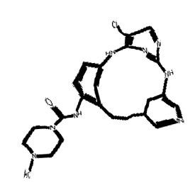 CC(=O)N1CCN(C(=O)Nc2ccc3cc2CCC2C=NC=C(C2)Nc2ncc(Cl)c(n2)N3)CC1